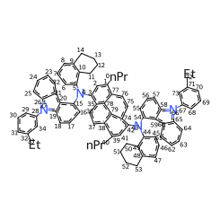 CCCc1cc(N(c2cccc3c2CCCC3)c2cccc3c2c2ccccc2n3-c2cccc(CC)c2)c2ccc3c(CCC)cc(N(c4cccc5c4CCCC5)c4cccc5c4c4ccccc4n5-c4cccc(CC)c4)c4ccc1c2c34